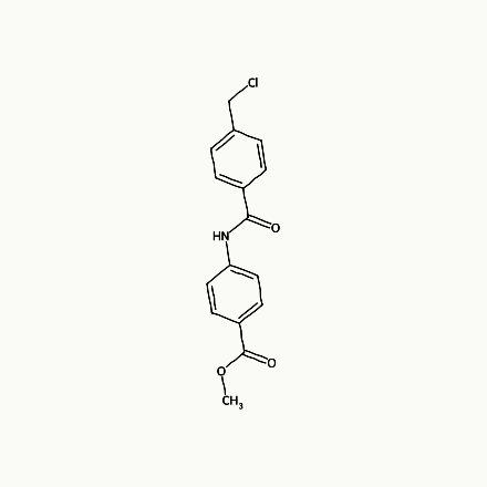 COC(=O)c1ccc(NC(=O)c2ccc(CCl)cc2)cc1